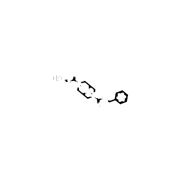 CC(C)(C)OC(=O)N1CC2CN(C(=O)OCc3ccccc3)CC(C1)O2